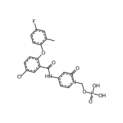 Cc1cc(F)ccc1Oc1ccc(Cl)cc1C(=O)Nc1ccn(COP(=O)(O)O)c(=O)c1